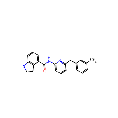 O=C(Nc1cccc(Cc2cccc(C(F)(F)F)c2)n1)c1cccc2c1CCN2